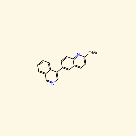 COc1ccc2cc(-c3cncc4ccccc34)ccc2n1